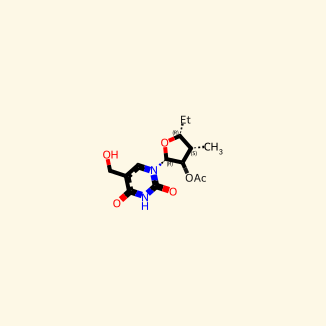 CC[C@H]1O[C@@H](n2cc(CO)c(=O)[nH]c2=O)C(OC(C)=O)[C@H]1C